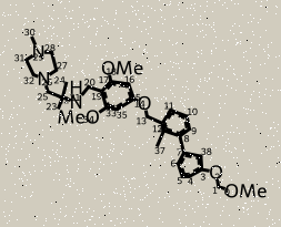 COCOc1cccc(-c2cccc(COc3cc(OC)c(CNC(C)(C)CN4CCN(C)CC4)c(OC)c3)c2C)c1